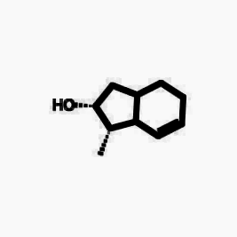 C[C@H]1C2C=CCCC2C[C@H]1O